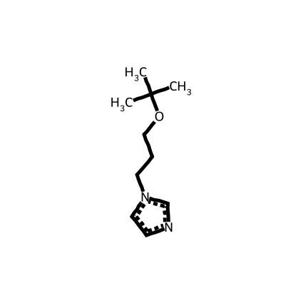 CC(C)(C)OCCCn1ccnc1